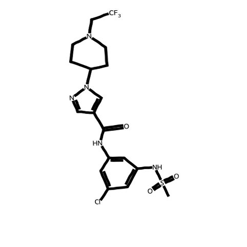 CS(=O)(=O)Nc1cc(Cl)cc(NC(=O)c2cnn(C3CCN(CC(F)(F)F)CC3)c2)c1